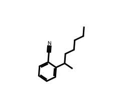 CCCCCC(C)c1ccccc1C#N